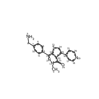 Cn1nc(-c2ccc(CN)cc2)c2scc(-c3ccncc3)c2c1=O